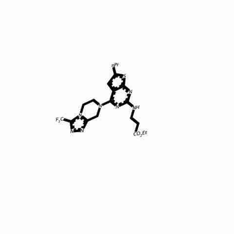 CCCc1cc2c(N3CCn4c(nnc4C(F)(F)F)C3)nc(NCCC(=O)OCC)nc2s1